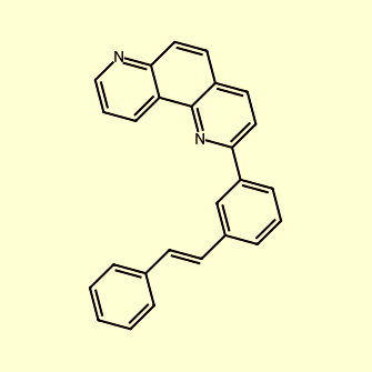 C(=Cc1cccc(-c2ccc3ccc4ncccc4c3n2)c1)c1ccccc1